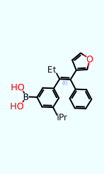 CC/C(=C(/c1ccccc1)c1ccoc1)c1cc(B(O)O)cc(C(C)C)c1